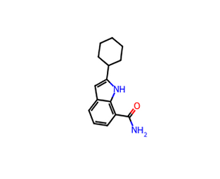 NC(=O)c1cccc2cc(C3CCCCC3)[nH]c12